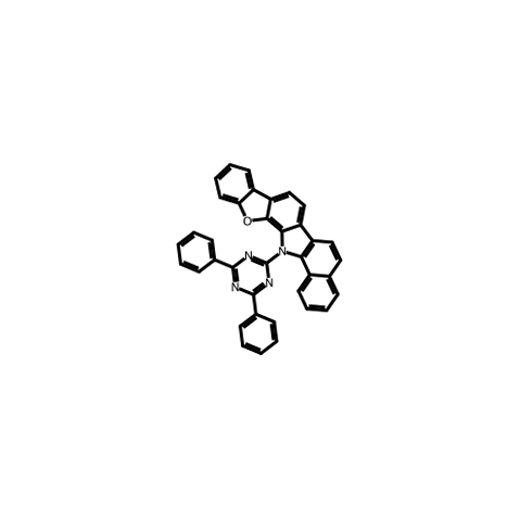 c1ccc(-c2nc(-c3ccccc3)nc(-n3c4c5ccccc5ccc4c4ccc5c6ccccc6oc5c43)n2)cc1